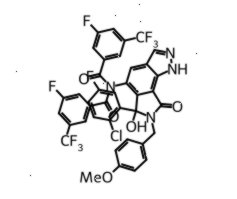 COc1ccc(CN2C(=O)c3c(c(N(C(=O)c4cc(F)cc(C(F)(F)F)c4)C(=O)c4cc(F)cc(C(F)(F)F)c4)cc4cn[nH]c34)C2(O)c2cc(F)ccc2Cl)cc1